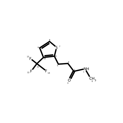 CNC(=O)CCc1sccc1C(F)(F)F